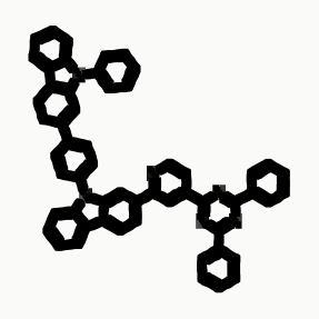 C1=C(c2ccc(-n3c4ccccc4c4ccc(-c5cc(-c6nc(-c7ccccc7)nc(-c7ccccc7)n6)ccn5)cc43)cc2)CCc2c1n(-c1ccccc1)c1ccccc21